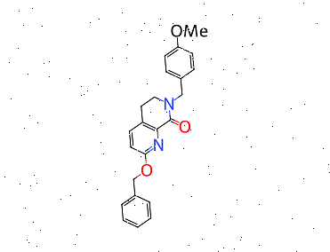 COc1ccc(CN2CCc3ccc(OCc4ccccc4)nc3C2=O)cc1